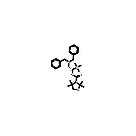 CC1(C)COC(C)(C)N1C(=O)O[C@H](CN(Cc1ccccc1)Cc1ccccc1)[Si](C)(C)C